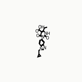 CCc1[nH]c(=O)n(-c2ccc3c(c2)ncn3CC2CC2)c(=O)c1C(=O)O